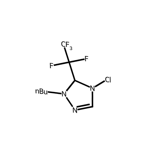 CCCCN1N=CN(Cl)C1C(F)(F)C(F)(F)F